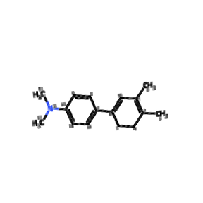 CC1=C(C)CCC(c2ccc(N(C)C)cc2)=C1